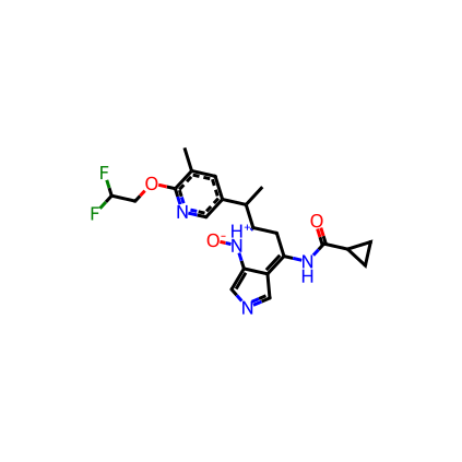 Cc1cc(C(C)C2CC(NC(=O)C3CC3)=C3C=NC=C3[NH+]2[O-])cnc1OCC(F)F